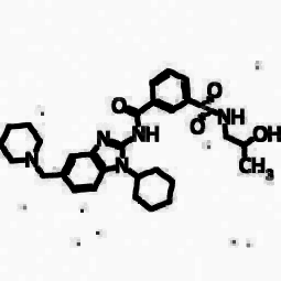 CC(O)CNS(=O)(=O)c1cccc(C(=O)Nc2nc3cc(CN4CCCCC4)ccc3n2C2CCCCC2)c1